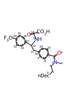 CCCCCCCCCCCCN(C)C(=O)c1ccc(CC(NC(=O)C(=O)O)c2ccc(C(F)(F)F)cc2)cc1